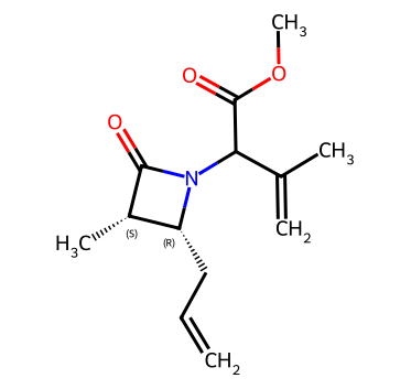 C=CC[C@@H]1[C@H](C)C(=O)N1C(C(=C)C)C(=O)OC